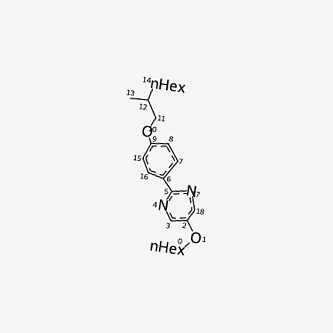 CCCCCCOc1cnc(-c2ccc(OCC(C)CCCCCC)cc2)nc1